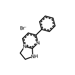 [Br-].c1ccc(-c2cc[n+]3c(n2)NCC3)cc1